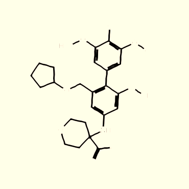 COc1cc(-c2c(COC3CCCC3)cc(NC3(C(=O)O)CCOCC3)cc2OC)cc(OC)c1C